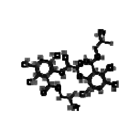 CC(C)C(C)COC(=O)c1c(Cl)c(Cl)cc(Cl)c1OC(=O)C(=O)Oc1c(Cl)cc(Cl)c(Cl)c1C(=O)OCC(C)C(C)C